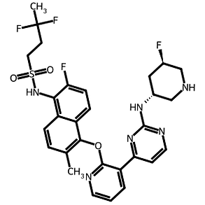 Cc1ccc2c(NS(=O)(=O)CCC(C)(F)F)c(F)ccc2c1Oc1ncccc1-c1ccnc(N[C@H]2CNC[C@H](F)C2)n1